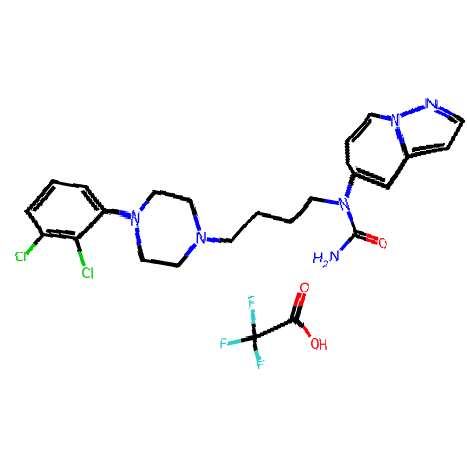 NC(=O)N(CCCCN1CCN(c2cccc(Cl)c2Cl)CC1)c1ccn2nccc2c1.O=C(O)C(F)(F)F